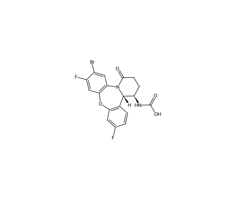 O=C(O)N[C@@H]1CCC(=O)N2c3cc(Br)c(F)cc3Oc3cc(F)ccc3[C@@H]12